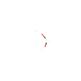 OBO.[Zr]